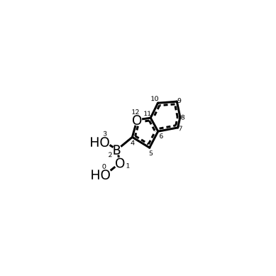 OOB(O)c1cc2ccccc2o1